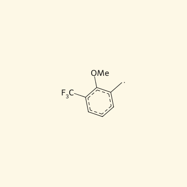 [CH2]c1cccc(C(F)(F)F)c1OC